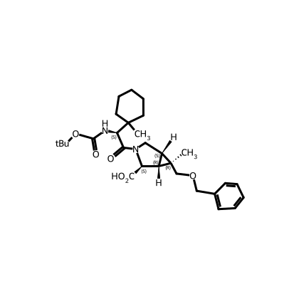 CC(C)(C)OC(=O)N[C@H](C(=O)N1C[C@H]2[C@@H]([C@H]1C(=O)O)[C@]2(C)COCc1ccccc1)C1(C)CCCCC1